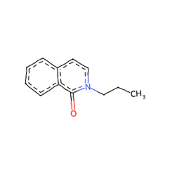 CCCn1ccc2ccccc2c1=O